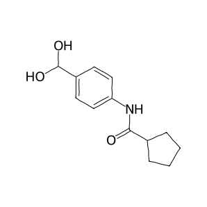 O=C(Nc1ccc(C(O)O)cc1)C1CCCC1